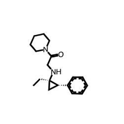 CC[C@@]1(NCC(=O)N2CCCCC2)C[C@H]1c1ccccc1